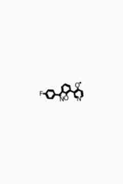 COc1ccncc1-c1cccc2c(-c3ccc(F)cc3)noc12